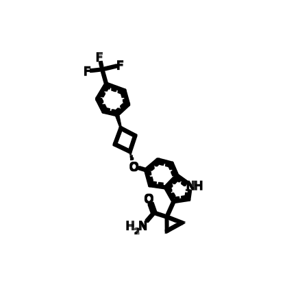 NC(=O)C1(c2c[nH]c3ccc(O[C@H]4C[C@H](c5ccc(C(F)(F)F)cc5)C4)cc23)CC1